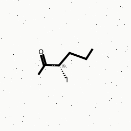 CCC[C@H](I)C(C)=O